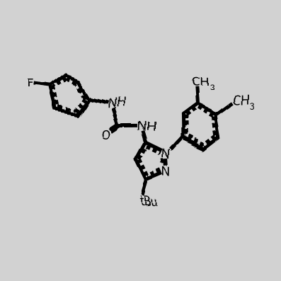 Cc1ccc(-n2nc(C(C)(C)C)cc2NC(=O)Nc2ccc(F)cc2)cc1C